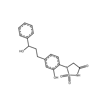 O=C1CN(c2ccc(CCC(O)c3ccccc3)cc2O)S(=O)(=O)N1